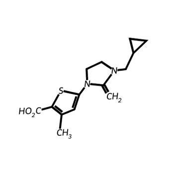 C=C1N(CC2CC2)CCN1c1cc(C)c(C(=O)O)s1